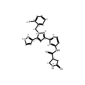 O=C1CC(C(=O)Nc2ccnc(-c3cc(-c4ccon4)n(Cc4ccccc4F)n3)n2)CN1